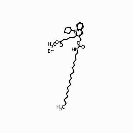 CCCCCCCCCCCCCCCCCCNC(=O)OCc1cc2ccccc2[n+](C2CCCC2)c1CCCCC(=O)OC.[Br-]